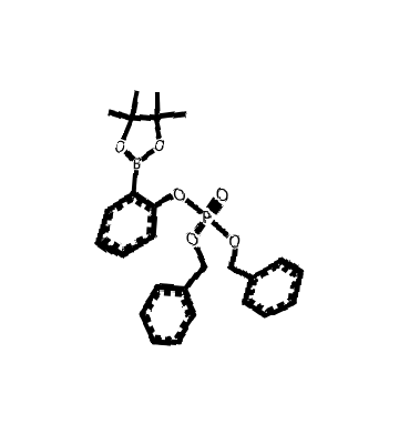 CC1(C)OB(c2ccccc2OP(=O)(OCc2ccccc2)OCc2ccccc2)OC1(C)C